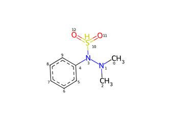 CN(C)N(c1ccccc1)[SH](=O)=O